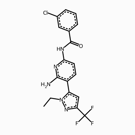 CCn1nc(C(F)(F)F)cc1-c1ccc(NC(=O)c2cccc(Cl)c2)nc1N